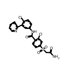 NC(=O)CS(=O)(=O)c1ccc(C(=O)Nc2ccc(Cl)c(-c3ccccn3)c2)c(Cl)c1